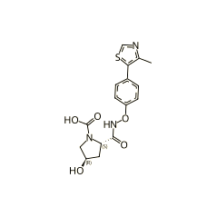 Cc1ncsc1-c1ccc(ONC(=O)[C@@H]2C[C@@H](O)CN2C(=O)O)cc1